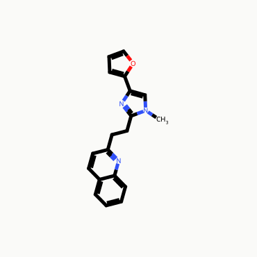 Cn1cc(-c2ccco2)nc1CCc1ccc2ccccc2n1